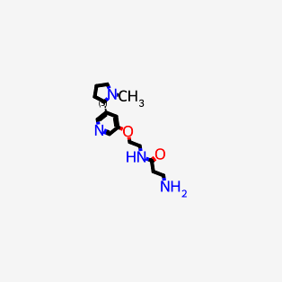 CN1CCC[C@H]1c1cncc(OCCNC(=O)CCN)c1